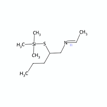 C/C=N/CC(CCC)S[Si](C)(C)C